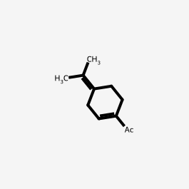 CC(=O)C1=CCC(=C(C)C)CC1